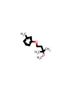 COC(C)(C)CCOc1cccc(C)c1